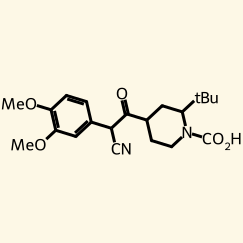 COc1ccc(C(C#N)C(=O)C2CCN(C(=O)O)C(C(C)(C)C)C2)cc1OC